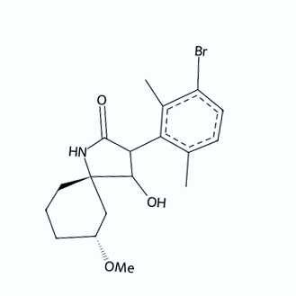 CO[C@@H]1CCC[C@@]2(C1)NC(=O)C(c1c(C)ccc(Br)c1C)C2O